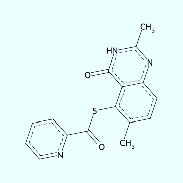 Cc1nc2ccc(C)c(SC(=O)c3ccccn3)c2c(=O)[nH]1